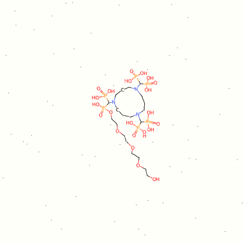 O=P(O)(O)C(N1CCCN(C(P(=O)(O)O)P(=O)(O)O)CCCN(C(P(=O)(O)O)P(=O)(O)OCCOCCOCCOCCO)CCC1)P(=O)(O)O